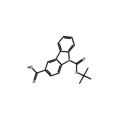 CC(C)(C)OC(=O)n1c2ccccc2c2cc(C(=O)O)ccc21